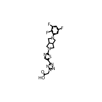 O=C(O)Cn1nnc(-c2cnc(N3CC4CN(c5cc(F)cc(F)c5F)CC4C3)s2)n1